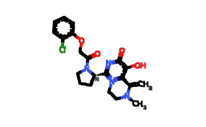 C=C1c2c(O)c(=O)nc([C@@H]3CCCN3C(=O)COc3ccccc3Cl)n2CCN1C